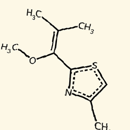 COC(=C(C)C)c1nc(C)cs1